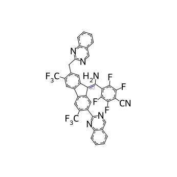 N#Cc1c(F)c(F)c(/C(N)=C2/c3cc(Cc4ncc5ccccc5n4)c(C(F)(F)F)cc3-c3cc(C(F)(F)F)c(-c4ncc5ccccc5n4)cc32)c(F)c1F